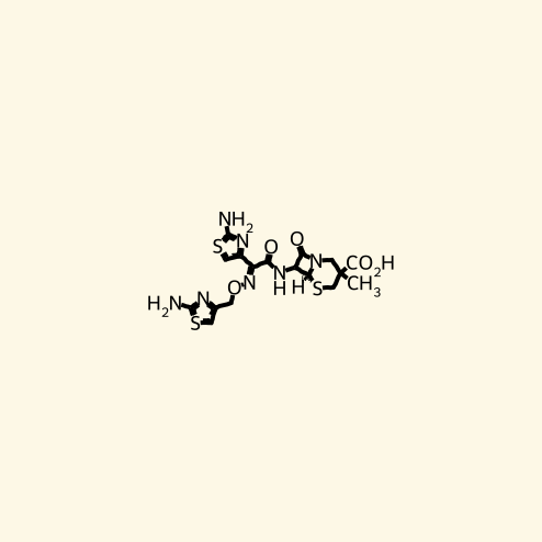 CC1(C(=O)O)CS[C@@H]2C(NC(=O)C(=NOCc3csc(N)n3)c3csc(N)n3)C(=O)N2C1